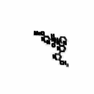 COc1cc(NC(=O)N2c3nc(-c4cncc(C)c4)ccc3N3CCC[C@H]2C3)ncn1